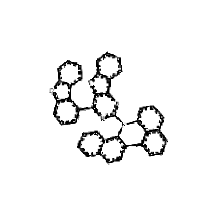 c1ccc2c3c(ccc2c1)-c1cccc2cccc(c12)N3c1nc(-c2cccc3oc4ccccc4c23)c2sc3ccccc3c2n1